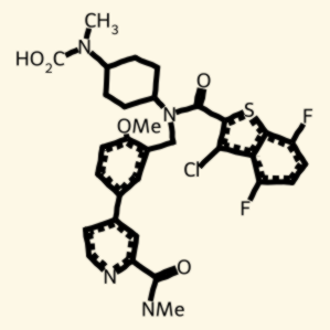 CNC(=O)c1cc(-c2ccc(OC)c(CN(C(=O)c3sc4c(F)ccc(F)c4c3Cl)C3CCC(N(C)C(=O)O)CC3)c2)ccn1